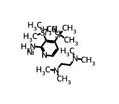 CN(C)CCN(C)C.C[Si](C)(C)c1ccnc(N)c1[Si](C)(C)C.[Ni]